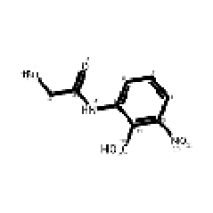 CC(C)(C)CC(=O)Nc1cccc([N+](=O)[O-])c1C(=O)O